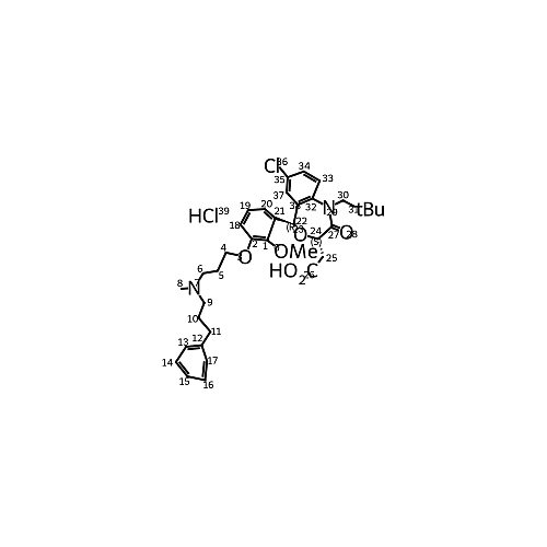 COc1c(OCCCN(C)CCCc2ccccc2)cccc1[C@@H]1O[C@@H](CC(=O)O)C(=O)N(CC(C)(C)C)c2ccc(Cl)cc21.Cl